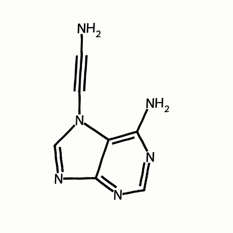 NC#Cn1cnc2ncnc(N)c21